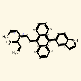 C=CC(=C)C(/C=C\C)=C\Cc1c2ccccc2c(-c2ccc3[pH]ccc3c2)c2ccccc12